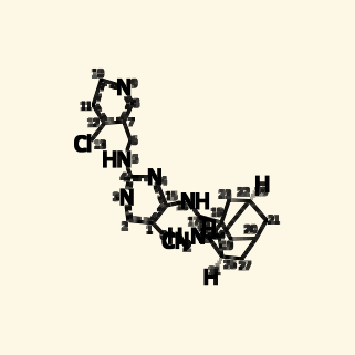 N#Cc1cnc(NCc2cnccc2Cl)nc1NC[C@]12CC3C[C@H](C1)[C@@H](N)[C@@H](C3)C2